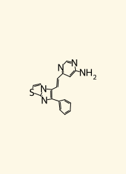 Nc1cc(C=Cc2c(-c3ccccc3)nc3sccn23)ncn1